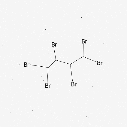 BrC(Br)C(Br)C(Br)C(Br)Br